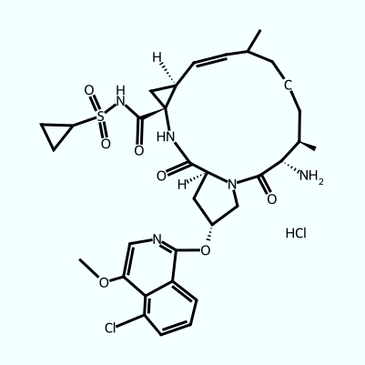 COc1cnc(O[C@@H]2C[C@H]3C(=O)N[C@]4(C(=O)NS(=O)(=O)C5CC5)C[C@H]4C=CC(C)CCC[C@@H](C)[C@H](N)C(=O)N3C2)c2cccc(Cl)c12.Cl